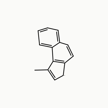 CC1=C[CH]c2ccc3ccccc3c21